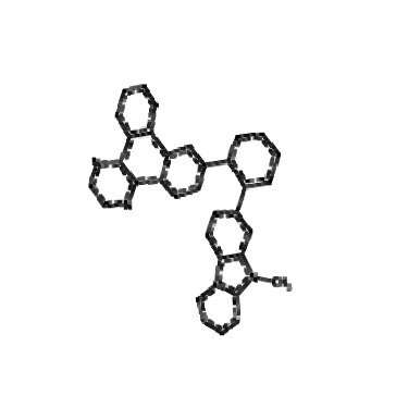 Cn1c2ccccc2c2ccc(-c3ccccc3-c3ccc4c(c3)c3ccccc3c3nccnc43)cc21